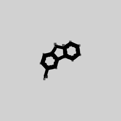 CCc1ccc2c(c1)-c1ccccc1[N]2